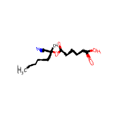 CCCCCC(C)(C#N)OC(=O)CCCCC(=O)O